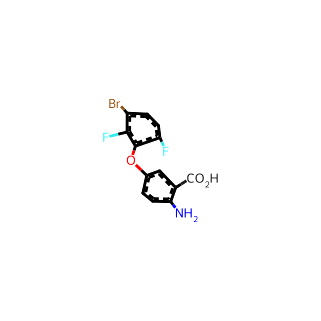 Nc1ccc(Oc2c(F)ccc(Br)c2F)cc1C(=O)O